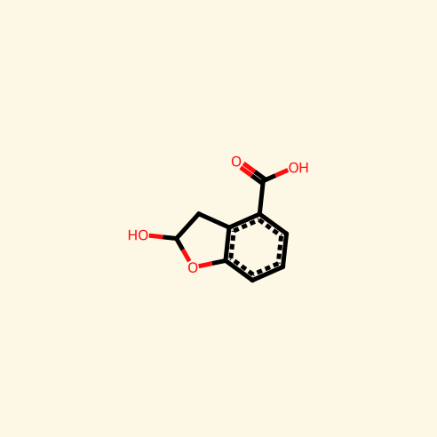 O=C(O)c1cccc2c1CC(O)O2